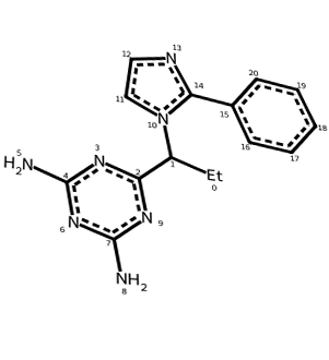 CCC(c1nc(N)nc(N)n1)n1ccnc1-c1ccccc1